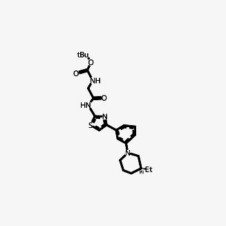 CC[C@@H]1CCCN(c2cccc(-c3csc(NC(=O)CNC(=O)OC(C)(C)C)n3)c2)C1